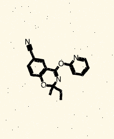 CCC1(C)N=C(Oc2ccccn2)c2cc(C#N)ccc2O1